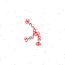 COC(=O)C=Cc1ccc(OCCCC(=O)OCC(COC(=O)CCCOc2ccc(C=CC(=O)OC)cc2)OC(=O)CCCOc2ccc(C=CC(=O)OC)cc2)cc1